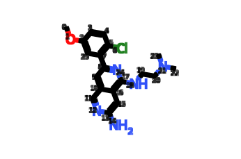 COc1ccc(Cl)c(-c2cc3cnc(N)cc3c(NCCN(C)C)n2)c1